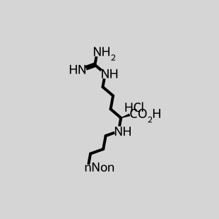 CCCCCCCCCCCCN[C@@H](CCCNC(=N)N)C(=O)O.Cl